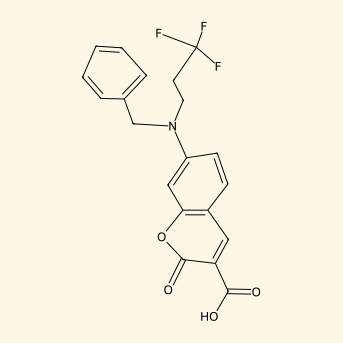 O=C(O)c1cc2ccc(N(CCC(F)(F)F)Cc3ccccc3)cc2oc1=O